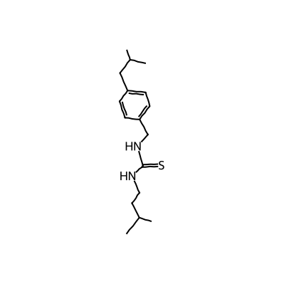 CC(C)CCNC(=S)NCc1ccc(CC(C)C)cc1